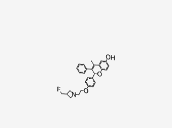 CC1=C(c2ccccc2)C(c2ccc(OCCN3CC(CF)C3)cc2)Oc2ccc(O)cc21